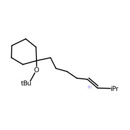 CC(C)/C=C/CCCCC1(OC(C)(C)C)CCCCC1